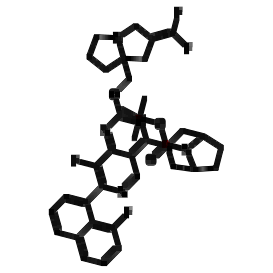 CC(C)(C)OC(=O)N1C2CCC1CN(c1nc(OCC34CCCN3CC(=C(F)F)C4)nc3c(F)c(-c4cccc5cccc(F)c45)ncc13)C2